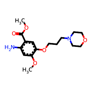 COC(=O)c1cc(OCCCN2CCOCC2)c(OC)cc1N